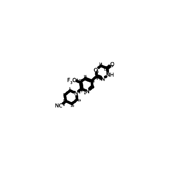 N#CC1CCN(c2ncc(C3=NNC(=O)CO3)cc2C(F)(F)F)CC1